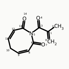 C=C(C)C(=O)N1C(=O)/C=C\C/C=C\C1=O